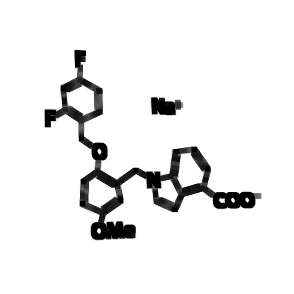 COc1ccc(OCc2ccc(F)cc2F)c(Cn2ccc3c(C(=O)[O-])cccc32)c1.[Na+]